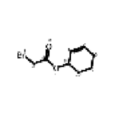 O=C(CBr)OC1C=CCCC1